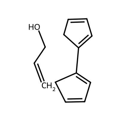 C1=CCC(C2=CC=CC2)=C1.C=CCO